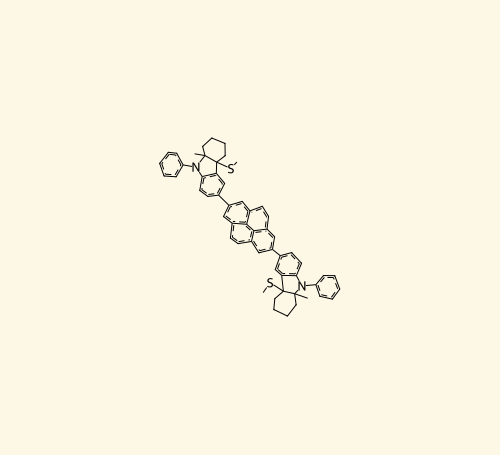 CSC12CCCCC1(C)N(c1ccccc1)c1ccc(-c3cc4ccc5cc(-c6ccc7c(c6)C6(SC)CCCCC6(C)N7c6ccccc6)cc6ccc(c3)c4c56)cc12